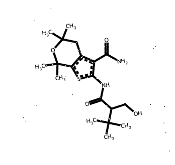 CC1(C)Cc2c(sc(NC(=O)C(CO)C(C)(C)C)c2C(N)=O)C(C)(C)O1